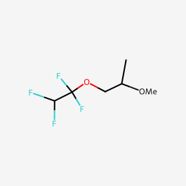 COC(C)COC(F)(F)C(F)F